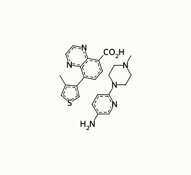 CN1CCN(c2ccc(N)cn2)CC1.Cc1cscc1-c1ccc(C(=O)O)c2nccnc12